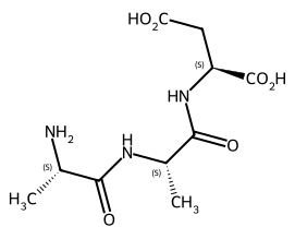 C[C@H](N)C(=O)N[C@@H](C)C(=O)N[C@@H](CC(=O)O)C(=O)O